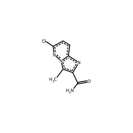 Cc1c(C(N)=O)nc2ccc(Cl)nn12